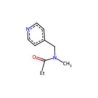 CCC(=O)N(C)Cc1ccncc1